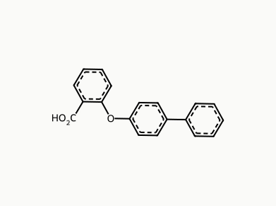 O=C(O)c1ccccc1Oc1ccc(-c2ccccc2)cc1